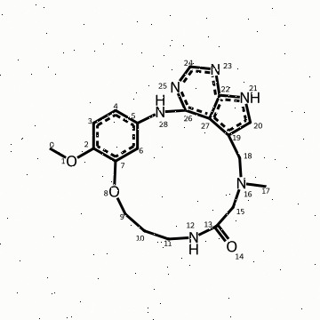 COc1ccc2cc1OCCCNC(=O)CN(C)Cc1c[nH]c3ncnc(c13)N2